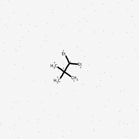 [CH2]C[C](CC)C(C)(C)C